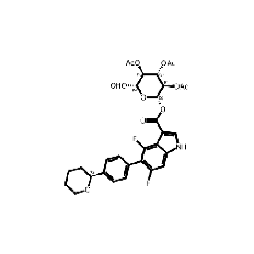 CC(=O)O[C@@H]1[C@@H](OC(C)=O)[C@H](OC(=O)c2c[nH]c3cc(F)c(-c4ccc([C@@H]5CCCCO5)cc4)c(F)c23)O[C@H](C=O)[C@H]1OC(C)=O